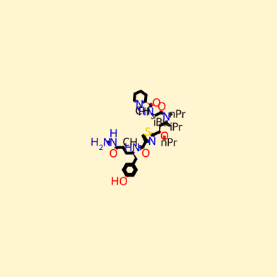 CCCO[C@H](CC(C(C)C)N(CCC)C(=O)[C@@H](NC(=O)[C@H]1CCCCN1C)[C@@H](C)CC)c1nc(C(=O)N[C@@H](Cc2ccc(O)cc2)C[C@H](C)C(=O)NN)cs1